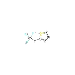 FC(F)(F)[CH]c1cccs1